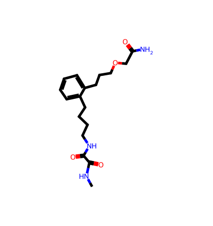 CNC(=O)C(=O)NCCCCc1ccccc1CCCOCC(N)=O